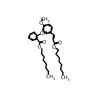 CCCCCCCCOC(=O)C=Cc1ccc(OC)cc1.CCCCCCCCOC(=O)c1ccccc1O